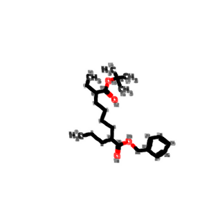 CCCC(CCCCC(CC)C(=O)OC(C)(C)C)C(=O)OCc1ccccc1